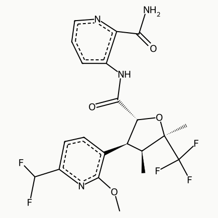 COc1nc(C(F)F)ccc1[C@H]1[C@H](C(=O)Nc2cccnc2C(N)=O)O[C@@](C)(C(F)(F)F)[C@H]1C